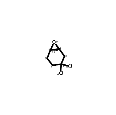 FC12CC(Cl)(Cl)CCC1O2